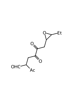 CCC1OC1CC(=O)C(=O)CC(C=O)C(C)=O